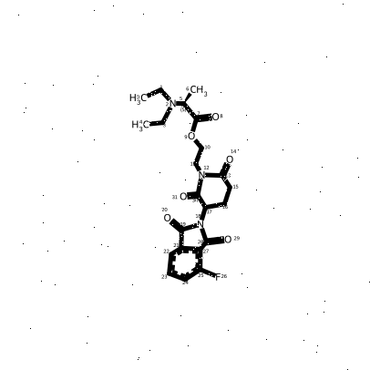 CCN(CC)[C@@H](C)C(=O)OCCN1C(=O)CCC(N2C(=O)c3cccc(F)c3C2=O)C1=O